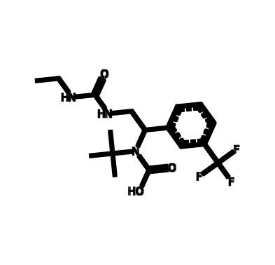 CCNC(=O)NCC(c1cccc(C(F)(F)F)c1)N(C(=O)O)C(C)(C)C